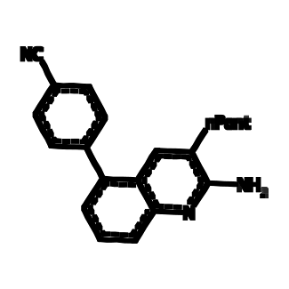 CCCCCc1cc2c(-c3ccc(C#N)cc3)cccc2nc1N